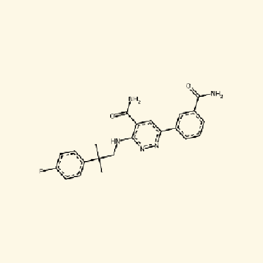 CC(C)(CNc1nnc(-c2cccc(C(N)=O)c2)cc1C(N)=O)c1ccc(F)cc1